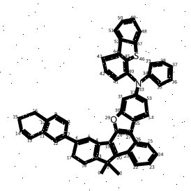 CC1(C)C2=C(C=C(c3ccc4c(c3)C=CCC4)CC2)c2c1c1ccccc1c1c2oc2cc(N(c3ccccc3)c3cccc4c3sc3ccccc34)ccc21